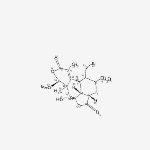 CCOC(=O)C1C[C@@H]2C(=O)O[C@H]3[C@@H]2[C@@H](C2=C(C)C(=O)O[C@H](OC)C2(C)[C@H]3O)C1SCC